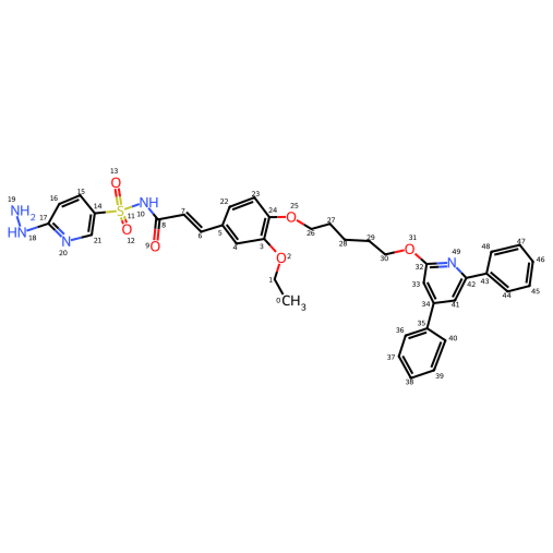 CCOc1cc(C=CC(=O)NS(=O)(=O)c2ccc(NN)nc2)ccc1OCCCCCOc1cc(-c2ccccc2)cc(-c2ccccc2)n1